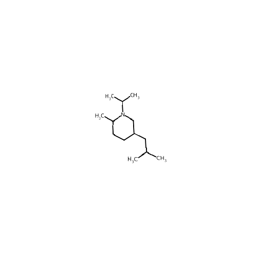 CC(C)CC1CCC(C)N(C(C)C)C1